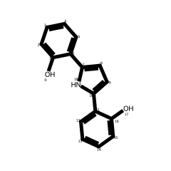 Oc1ccccc1-c1ccc(-c2ccccc2O)[nH]1